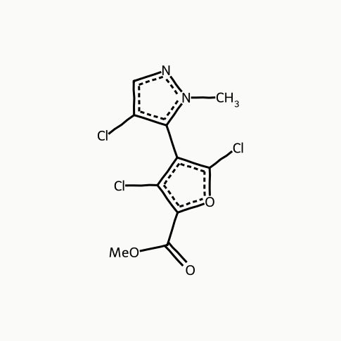 COC(=O)c1oc(Cl)c(-c2c(Cl)cnn2C)c1Cl